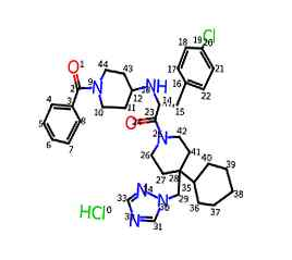 Cl.O=C(c1ccccc1)N1CCC(N[C@H](Cc2ccc(Cl)cc2)C(=O)N2CCC(Cn3cncn3)(C3CCCCC3)CC2)CC1